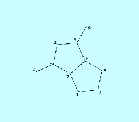 CC1CC(C)C2CCCC12